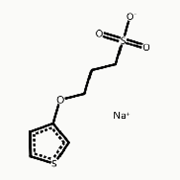 O=S(=O)([O-])CCCOc1ccsc1.[Na+]